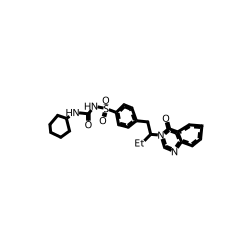 CCC(Cc1ccc(S(=O)(=O)NC(=O)NC2CCCCC2)cc1)n1cnc2ccccc2c1=O